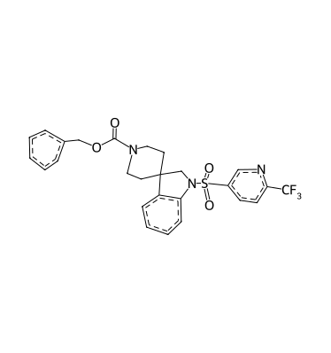 O=C(OCc1ccccc1)N1CCC2(CC1)CN(S(=O)(=O)c1ccc(C(F)(F)F)nc1)c1ccccc12